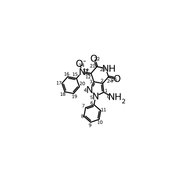 Nc1c2c(nn1-c1ccccc1)/C(=[N+](/[O-])c1ccccc1)C(=O)NC2=O